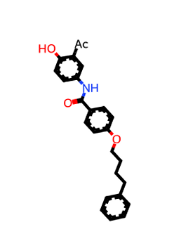 CC(=O)c1cc(NC(=O)c2ccc(OCCCCc3ccccc3)cc2)ccc1O